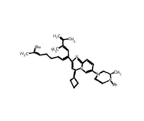 C=C(C)/C(C)=C/C(=C\CCC/C=C(/C)C(C)CC)C1=CC(=C2CCC2)N2C=C(N3CCN(C(C)C)[C@H](C)C3)C=CC2=N1